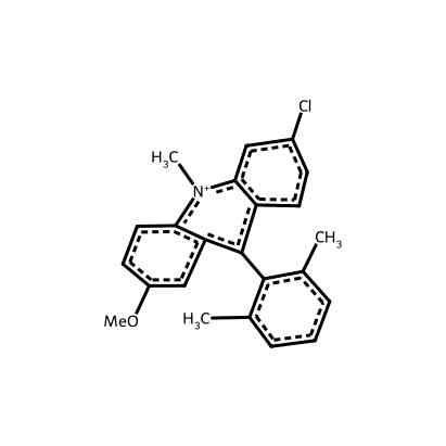 COc1ccc2c(c1)c(-c1c(C)cccc1C)c1ccc(Cl)cc1[n+]2C